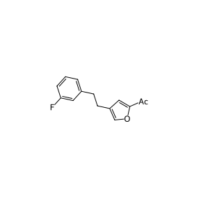 CC(=O)c1cc(CCc2cccc(F)c2)co1